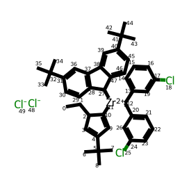 CCC1C=C(C(C)(C)C)C=[C]1[Zr+2](=[C](c1cccc(Cl)c1)c1cccc(Cl)c1)[CH]1c2ccc(C(C)(C)C)cc2-c2cc(C(C)(C)C)ccc21.[Cl-].[Cl-]